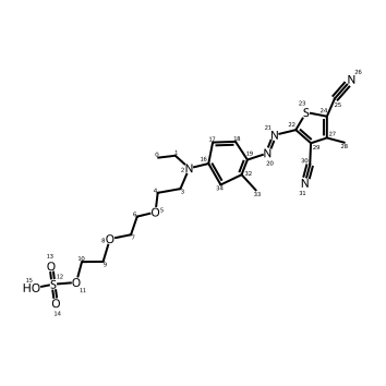 CCN(CCOCCOCCOS(=O)(=O)O)c1ccc(/N=N/c2sc(C#N)c(C)c2C#N)c(C)c1